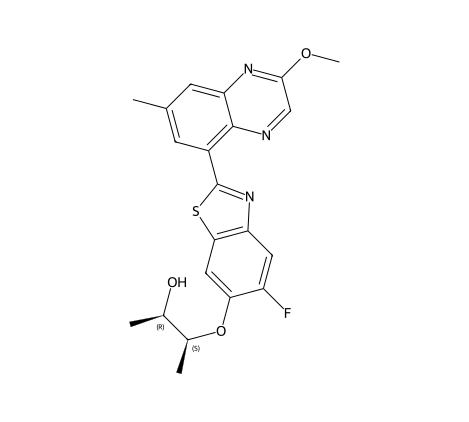 COc1cnc2c(-c3nc4cc(F)c(O[C@@H](C)[C@@H](C)O)cc4s3)cc(C)cc2n1